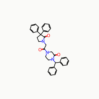 O=C(CN1CCC(c2ccccc2)(c2ccccc2)C1=O)N1CCN(C(c2ccccc2)c2ccccc2)C(=O)C1